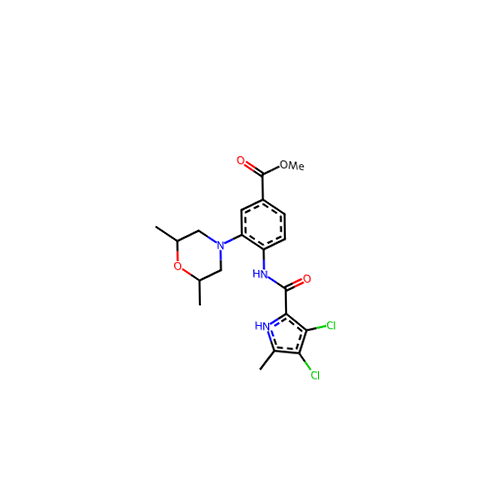 COC(=O)c1ccc(NC(=O)c2[nH]c(C)c(Cl)c2Cl)c(N2CC(C)OC(C)C2)c1